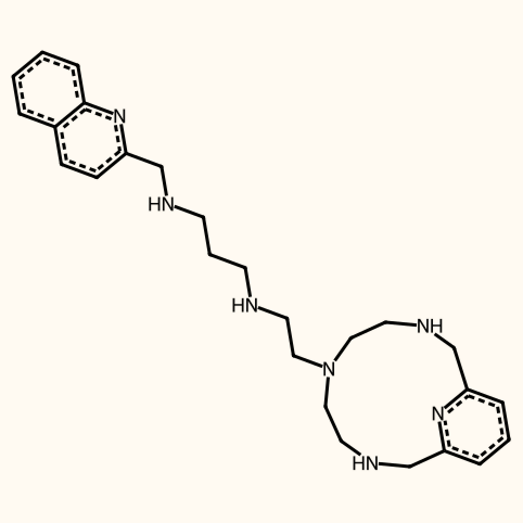 c1cc2nc(c1)CNCCN(CCNCCCNCc1ccc3ccccc3n1)CCNC2